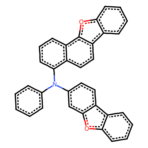 c1ccc(N(c2ccc3c(c2)oc2ccccc23)c2cccc3c2ccc2c4ccccc4oc32)cc1